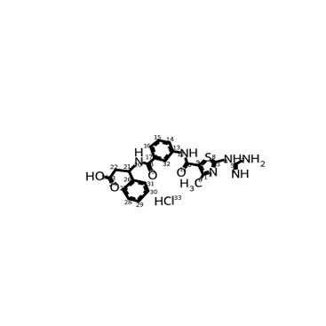 Cc1nc(NC(=N)N)sc1C(=O)Nc1cccc(C(=O)NC(CC(=O)O)c2ccccc2)c1.Cl